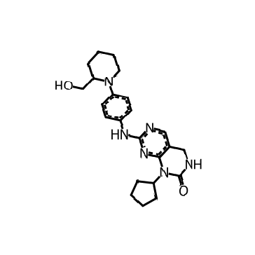 O=C1NCc2cnc(Nc3ccc(N4CCCCC4CO)cc3)nc2N1C1CCCC1